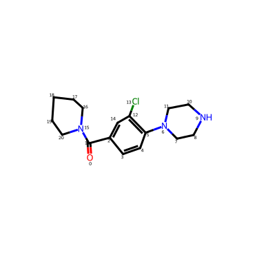 O=C(c1ccc(N2CCNCC2)c(Cl)c1)N1CCCCC1